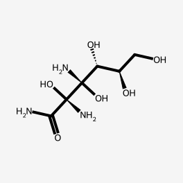 NC(=O)[C@](N)(O)[C@@](N)(O)[C@H](O)[C@H](O)CO